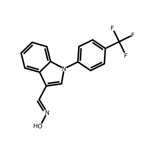 O/N=C/c1cn(-c2ccc(C(F)(F)F)cc2)c2ccccc12